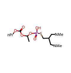 CCCOC(=O)OC(C)OP(=O)(O)SCC(CNC)CNC